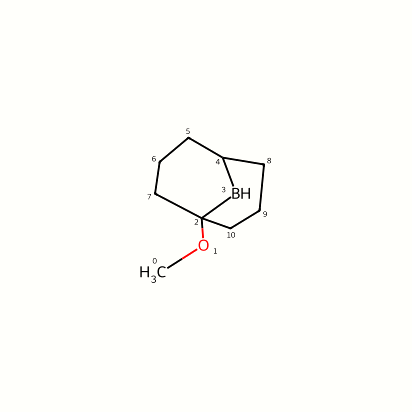 COC12BC(CCC1)CCC2